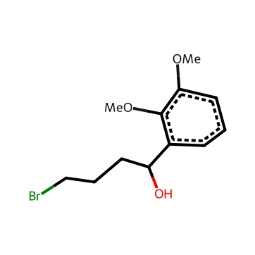 COc1cccc(C(O)CCCBr)c1OC